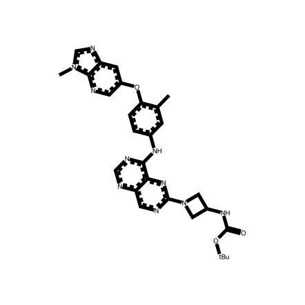 Cc1cc(Nc2ncnc3cnc(N4CC(NC(=O)OC(C)(C)C)C4)nc23)ccc1Oc1cnc2c(c1)ncn2C